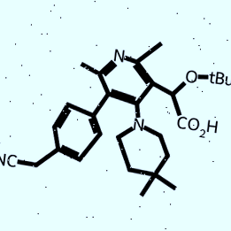 Cc1nc(C)c(C(OC(C)(C)C)C(=O)O)c(N2CCC(C)(C)CC2)c1-c1ccc(CC#N)cc1